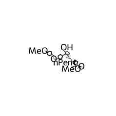 CCCCCC(OCc1ccc(OC)cc1)c1ccc(C2=C(CO)CC[C@@H]2CCCc2ccc(C(=O)OC)s2)cc1